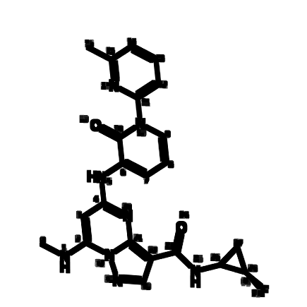 CNc1cc(Nc2cccn(-c3cccc(C)n3)c2=O)nc2c(C(=O)NC3C[C@H]3F)cnn12